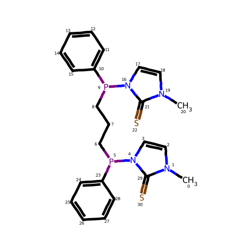 Cn1ccn(P(CCCP(c2ccccc2)n2ccn(C)c2=S)c2ccccc2)c1=S